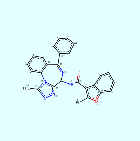 CCc1oc2ccccc2c1C(=O)NC1N=C(c2ccccc2)c2ccccc2-n2c(C)nnc21